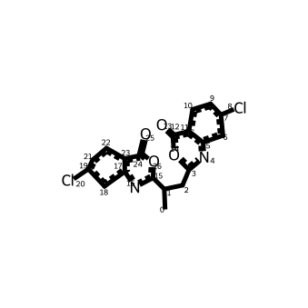 CC(Cc1nc2cc(Cl)ccc2c(=O)o1)c1nc2cc(Cl)ccc2c(=O)o1